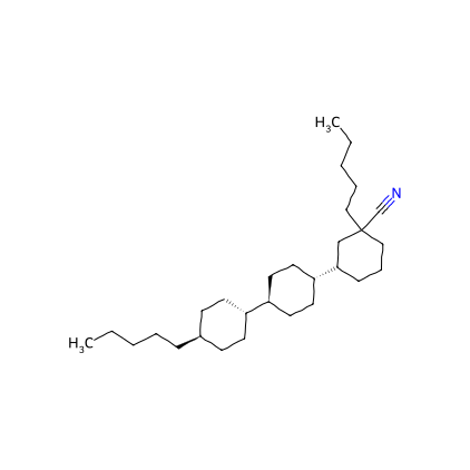 CCCCCC1(C#N)CCCC([C@H]2CC[C@H]([C@H]3CC[C@H](CCCCC)CC3)CC2)C1